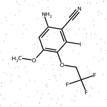 COc1cc(N)c(C#N)c(I)c1OCC(F)(F)F